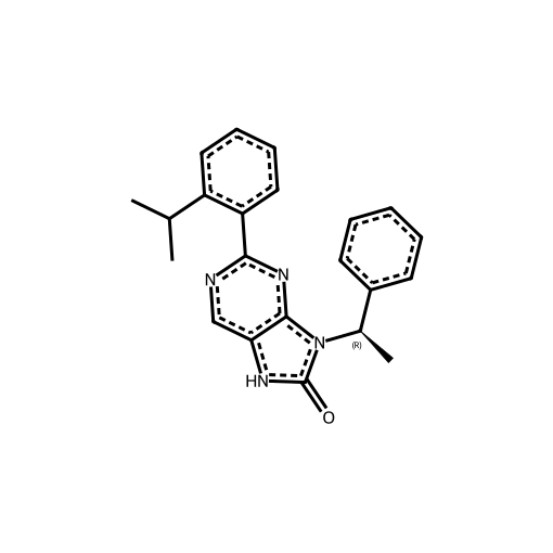 CC(C)c1ccccc1-c1ncc2[nH]c(=O)n([C@H](C)c3ccccc3)c2n1